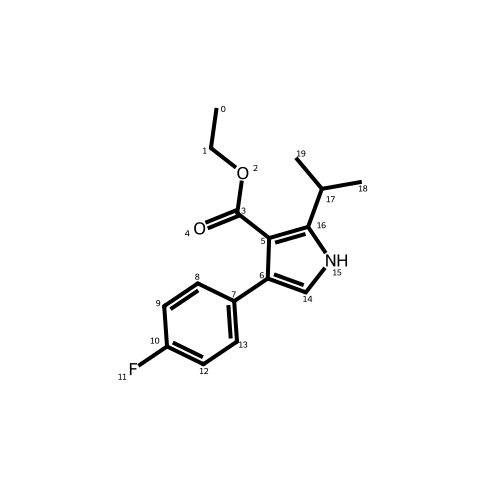 CCOC(=O)c1c(-c2ccc(F)cc2)c[nH]c1C(C)C